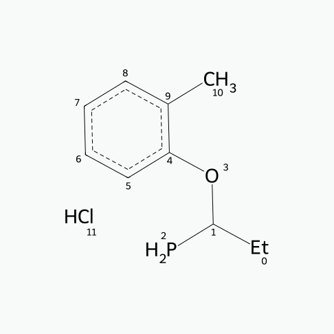 CCC(P)Oc1ccccc1C.Cl